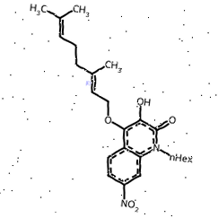 CCCCCCn1c(=O)c(O)c(OC/C=C(\C)CCC=C(C)C)c2ccc([N+](=O)[O-])cc21